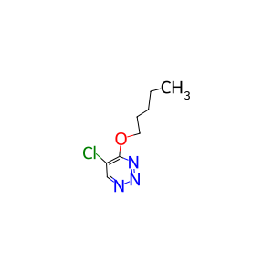 CCCCCOc1nnncc1Cl